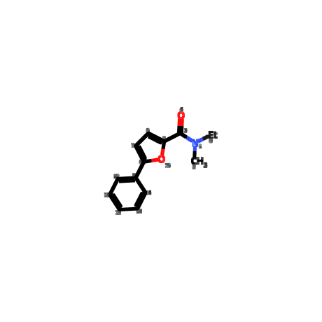 CCN(C)C(=O)c1ccc(-c2ccccc2)o1